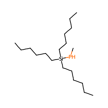 CCCCCC[Si](CCCCCC)(CCCCCC)PC